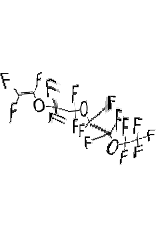 FC(F)=C(F)OC(F)(F)C(F)(F)OC(F)(F)C(F)(F)OC(F)(F)C(F)(F)F